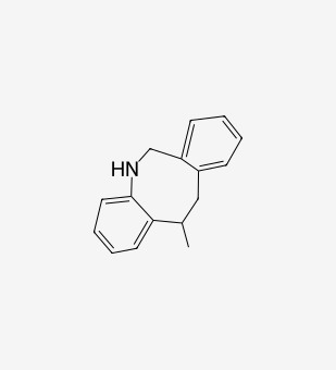 CC1Cc2ccccc2CNc2ccccc21